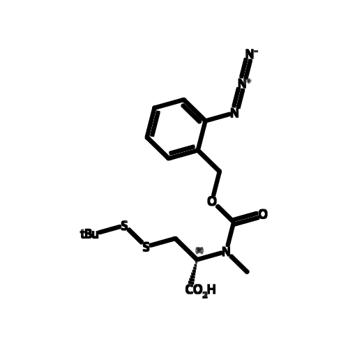 CN(C(=O)OCc1ccccc1N=[N+]=[N-])[C@@H](CSSC(C)(C)C)C(=O)O